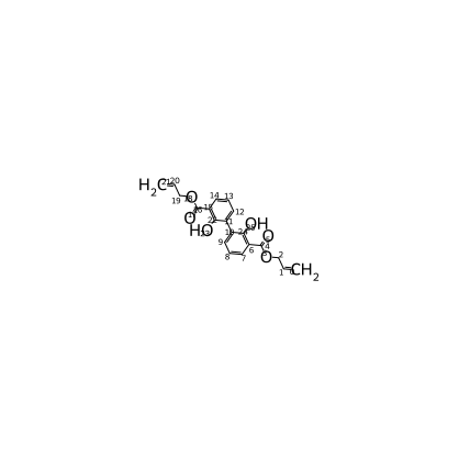 C=CCOC(=O)c1cccc(-c2cccc(C(=O)OCC=C)c2O)c1O